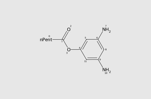 CCCCCC(=O)Oc1cc(N)cc(N)c1